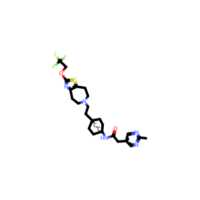 Cc1ncc(CC(=O)NC23CCC(CCN4CCc5nc(OCC(F)(F)F)sc5CC4)(CC2)CC3)cn1